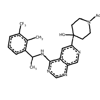 CC(=O)N1CCC(O)(c2cc3c(NC(C)c4cccc(C(F)(F)F)c4C)ncnc3cn2)CC1